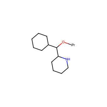 CC(C)OC(C1CCCCC1)C1CCCCN1